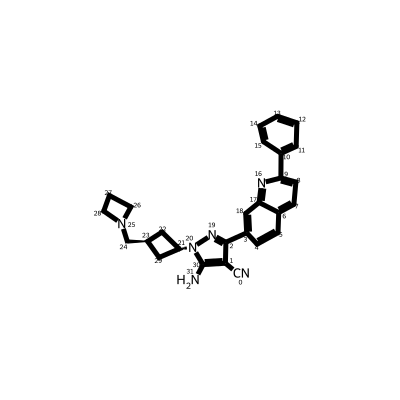 N#Cc1c(-c2ccc3ccc(-c4ccccc4)nc3c2)nn([C@H]2C[C@H](CN3CCC3)C2)c1N